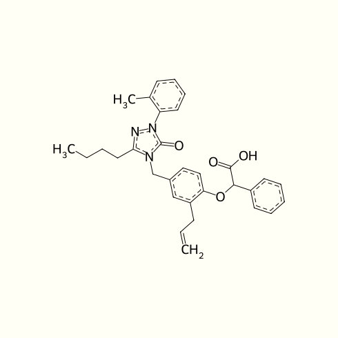 C=CCc1cc(Cn2c(CCCC)nn(-c3ccccc3C)c2=O)ccc1OC(C(=O)O)c1ccccc1